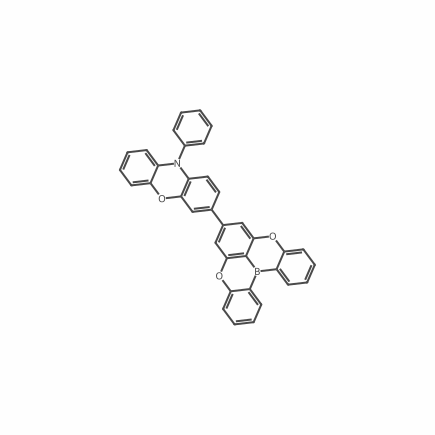 c1ccc(N2c3ccccc3Oc3cc(-c4cc5c6c(c4)Oc4ccccc4B6c4ccccc4O5)ccc32)cc1